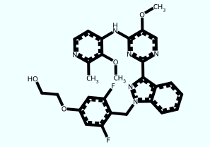 COc1cnc(-c2nn(Cc3c(F)cc(OCCO)cc3F)c3ccccc23)nc1Nc1ccnc(C)c1OC